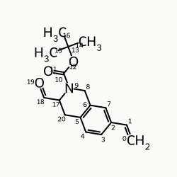 C=Cc1ccc2c(c1)CN(C(=O)OC(C)(C)C)C(C=O)C2